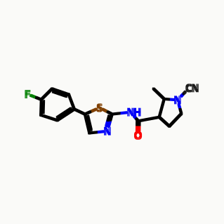 CC1C(C(=O)Nc2ncc(-c3ccc(F)cc3)s2)CCN1C#N